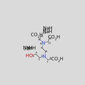 O=C(O)CN(CCO)CCN(CC(=O)O)CC(=O)O.[NaH].[NaH].[NaH].[NaH]